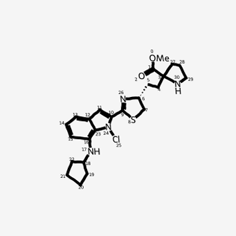 COC(=O)C1(CC[C@@H]2CSC(c3cc4cccc(NC5CCCC5)c4n3Cl)=N2)CCCN1